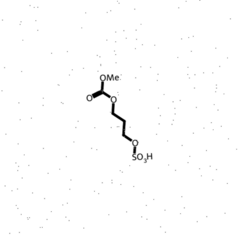 COC(=O)OCCCOS(=O)(=O)O